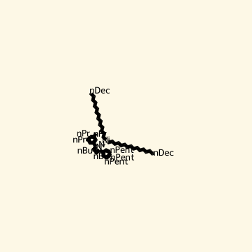 CCCCCCCCCCCCCCCCCCCCCCCC[CH2][Ni][CH2]CCCCCCCCCCCCCCCCCCCCCCCC.CCCCCc1cc(C2=C(CCCC)C(CCCC)=C(c3cc(CCC)c(CCC)c(CCC)c3)[N+]2=[N-])cc(CCCCC)c1CCCCC